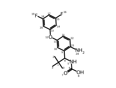 CC(C)(C)C(NC(=O)O)c1cc(Oc2cc(F)cc(F)c2)ccc1N